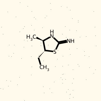 CC[C@H]1SC(=N)N[C@@H]1C